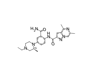 CCN1CCN(c2ccc(NC(=O)c3cc4c(C)nc(C)cn4n3)c(C(N)=O)c2)[C@@H](C)C1